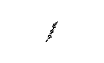 CCCCC[C@H]1CC[C@H](CCC2CCC(CCc3ccc(OCCCC)cn3)CC2)CC1